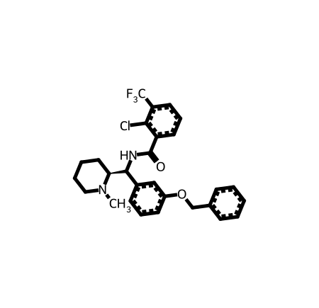 CN1CCCC[C@H]1C(NC(=O)c1cccc(C(F)(F)F)c1Cl)c1cccc(OCc2ccccc2)c1